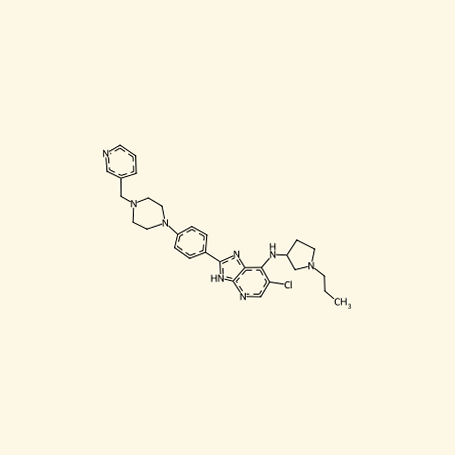 CCCN1CCC(Nc2c(Cl)cnc3[nH]c(-c4ccc(N5CCN(Cc6cccnc6)CC5)cc4)nc23)C1